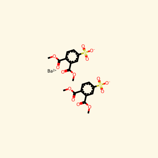 COC(=O)c1ccc(S(=O)(=O)[O-])cc1C(=O)OC.COC(=O)c1ccc(S(=O)(=O)[O-])cc1C(=O)OC.[Ba+2]